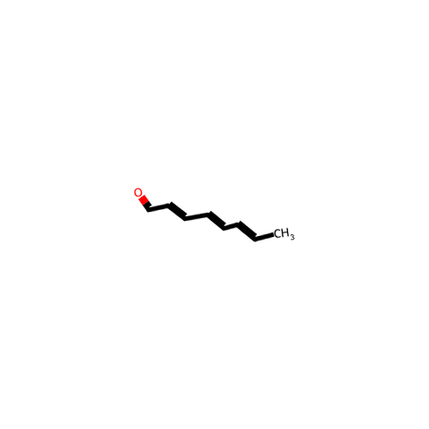 CC=CC=CC=CC=O